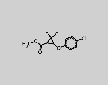 COC(=O)C1C(Oc2ccc(Cl)cc2)C1(F)Cl